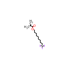 C=C(C)C(=O)OCCCCCCCCC[Si](I)(I)I